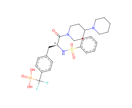 O=C([C@H](Cc1ccc(C(F)(F)P(=O)(O)O)cc1)NS(=O)(=O)c1ccccc1)N1CCC(N2CCCCC2)CC1